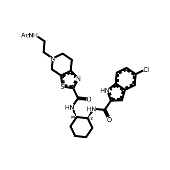 CC(=O)NCCN1CCc2nc(C(=O)N[C@@H]3CCCC[C@@H]3NC(=O)c3cc4cc(Cl)ccc4[nH]3)sc2C1